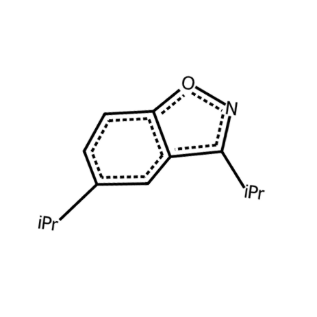 CC(C)c1ccc2onc(C(C)C)c2c1